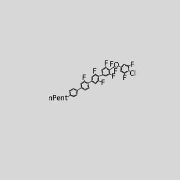 CCCCCc1ccc(-c2ccc(-c3cc(F)c(-c4cc(F)c(C(F)(F)Oc5cc(F)c(Cl)c(F)c5)c(F)c4)c(F)c3)c(F)c2)cc1